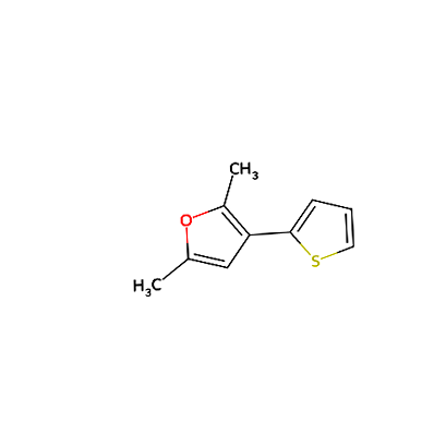 Cc1cc(-c2cccs2)c(C)o1